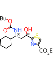 CCOC(=O)c1csc([C@H](O)C[C@@H](NC(=O)OC(C)(C)C)C2CCCCC2)n1